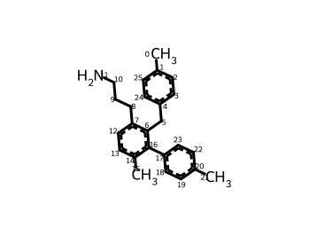 Cc1ccc(Cc2c(CCCN)ccc(C)c2-c2ccc(C)cc2)cc1